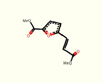 COC(=O)C=Cc1ccc(C(=O)OC)o1